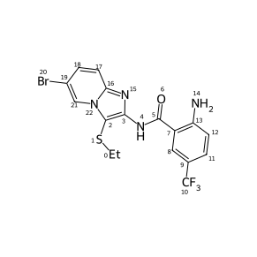 CCSc1c(NC(=O)c2cc(C(F)(F)F)ccc2N)nc2ccc(Br)cn12